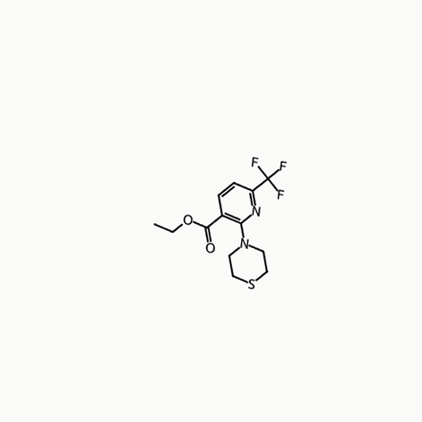 CCOC(=O)c1ccc(C(F)(F)F)nc1N1CCSCC1